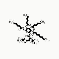 CCCCCCCC(=O)O[C@@H]1[C@H](OC(O)[C@@H]2OC(C)(C)O[C@@H]2[C@@H]2COC(C)(C)O2)O[C@H](COC(=O)CCCCC)[C@@H](OC(=O)CCCCC)[C@@H]1OC(=O)CCCCC